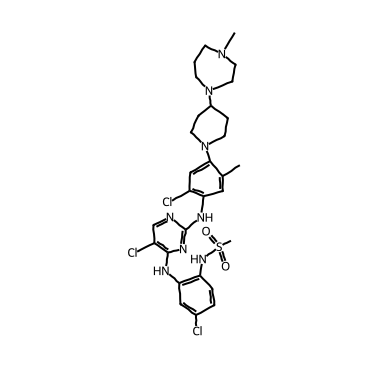 Cc1cc(Nc2ncc(Cl)c(Nc3cc(Cl)ccc3NS(C)(=O)=O)n2)c(Cl)cc1N1CCC(N2CCCN(C)CC2)CC1